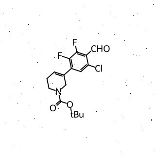 CC(C)(C)OC(=O)N1CCC=C(c2cc(Cl)c(C=O)c(F)c2F)C1